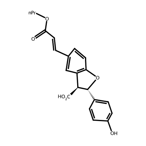 CCCOC(=O)/C=C/c1ccc2c(c1)[C@H](C(=O)O)[C@@H](c1ccc(O)cc1)O2